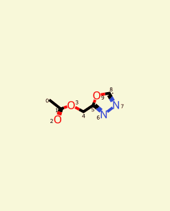 CC(=O)OCc1nn[c]o1